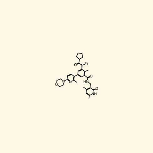 CCN(C(=O)C1CCCC1)c1cc(-c2ccc(N3CCOCC3)nc2C)cc(C(=O)NCc2c(C)cc(C)[nH]c2=O)c1C